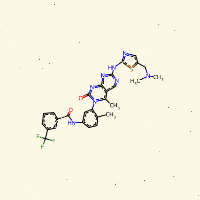 Cc1ccc(NC(=O)c2cccc(C(F)(F)F)c2)cc1-n1c(C)c2cnc(Nc3ncc(CN(C)C)s3)nc2nc1=O